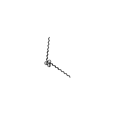 CCCCCCCC/C=C/C=C/C=C/C(OC)OC(/C=C/C=C/C=C/CCCCCCCC)OC